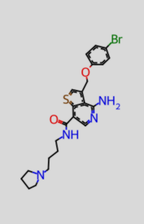 Nc1ncc(C(=O)NCCCCN2CCCC2)c2scc(COc3ccc(Br)cc3)c12